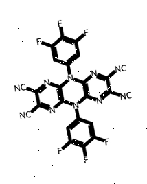 [C-]#[N+]c1nc2c(nc1[N+]#[C-])N(c1cc(F)c(F)c(F)c1)c1nc(C#N)c(C#N)nc1N2c1cc(F)c(F)c(F)c1